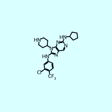 FC(F)(F)c1ccc(Nc2nc3cnc(NC4CCCC4)nc3n2C2CCNCC2)cc1Cl